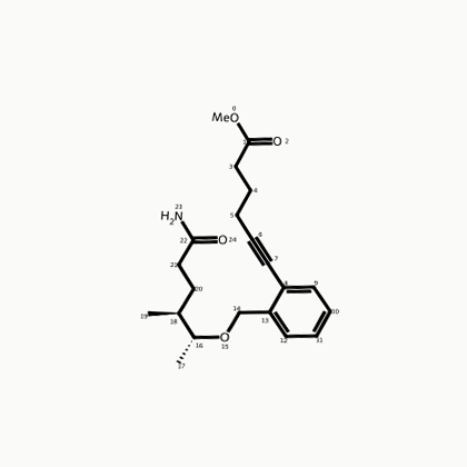 COC(=O)CCCC#Cc1ccccc1CO[C@H](C)[C@@H](C)CCC(N)=O